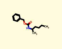 CCCCC(C)NC(=O)OCc1ccccc1